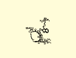 CN(C)S(=O)(=O)NC(=O)[C@@]12C[C@H]1/C=C\CCCCC[C@H](NC(=O)OC(C)(C)C)C(=O)N1C[C@H](Oc3nc4ccccc4n3COCC[Si](C)(C)C)C[C@H]1C(=O)N2